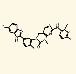 Cc1ccc(Nc2ncc3c(n2)N(C)C(=O)N(c2cc(-c4nc5ccc(C(F)(F)F)cc5[nH]4)ccc2C)C3)c(C)n1